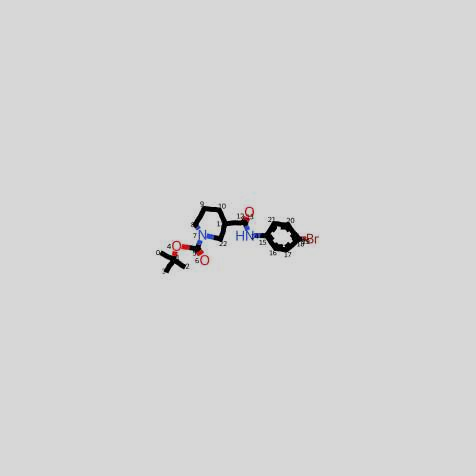 CC(C)(C)OC(=O)N1CCCC(C(=O)Nc2ccc(Br)cc2)C1